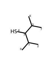 CC(C)C(S)C(C)C